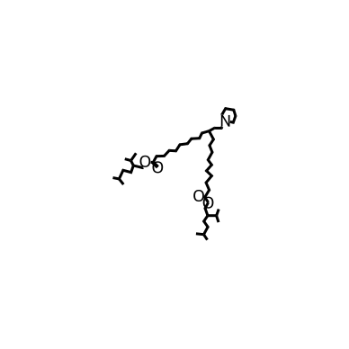 CC(C)CCC(COC(=O)CCCCCCCCCC(CCCCCCCCCC(=O)OCC(CCC(C)C)C(C)C)CCN1CCCCC1)C(C)C